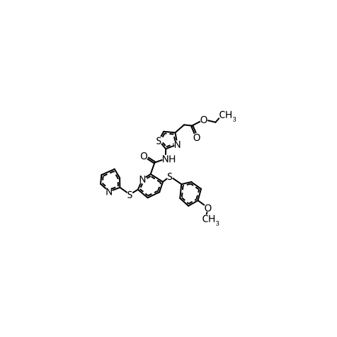 CCOC(=O)Cc1csc(NC(=O)c2nc(Sc3ccccn3)ccc2Sc2ccc(OC)cc2)n1